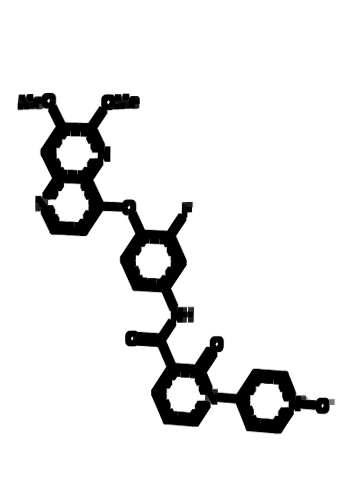 COc1cc2nccc(Oc3ccc(NC(=O)c4cccn(-c5cc[n+]([O-])cc5)c4=O)cc3F)c2nc1OC